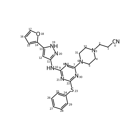 N#CCCN1CCN(c2nc(Nc3cc(-c4ccco4)[nH]n3)nc(Sc3ccccc3)n2)CC1